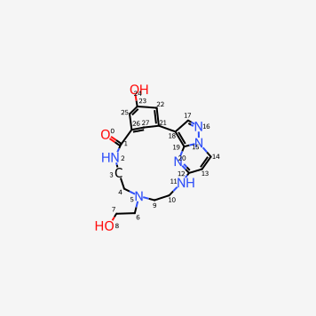 O=C1NCCN(CCO)CCNc2ccn3ncc(c3n2)-c2cc(O)cc1c2